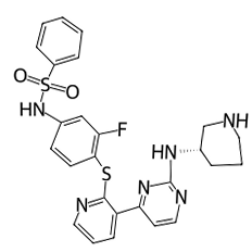 O=S(=O)(Nc1ccc(Sc2ncccc2-c2ccnc(N[C@H]3CCCNC3)n2)c(F)c1)c1ccccc1